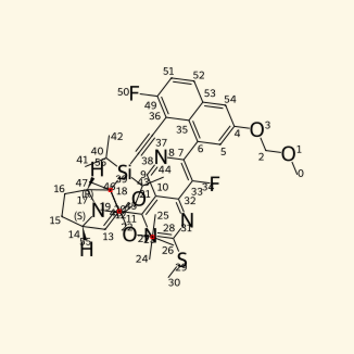 COCOc1cc(-c2ncc3c(C4=C[C@@H]5CC[C@H](C4)N5C(=O)OC(C)(C)C)nc(SC)nc3c2F)c2c(C#C[Si](C(C)C)(C(C)C)C(C)C)c(F)ccc2c1